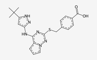 CC(C)(C)c1cc(Nc2nc(SCc3ccc(C(=O)O)cc3)nn3cccc23)n[nH]1